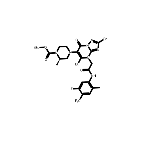 CCc1c(N2CCN(C(=O)OC(C)(C)C)[C@H](C)C2)c(=O)n2nc(Br)nc2n1CC(=O)Nc1cc(F)c(C(F)(F)F)cc1C